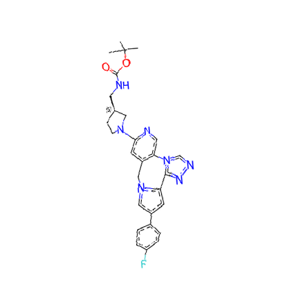 CC(C)(C)OC(=O)NC[C@@H]1CCN(c2cc3c(cn2)-n2cnnc2-c2cc(-c4ccc(F)cc4)cn2C3)C1